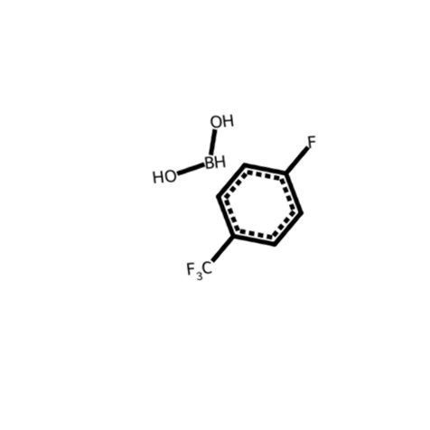 Fc1ccc(C(F)(F)F)cc1.OBO